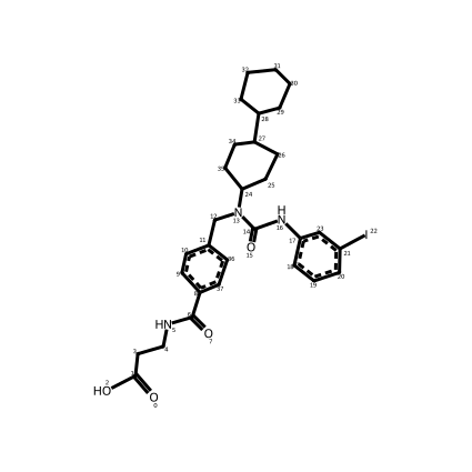 O=C(O)CCNC(=O)c1ccc(CN(C(=O)Nc2cccc(I)c2)C2CCC(C3CCCCC3)CC2)cc1